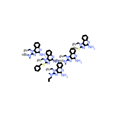 C=CCN(C)c1nc2c(N)nc3ccccc3c2n1CC(C)C.CC(C)Cn1c(SCc2ccccc2)nc2c(N)nc3ccccc3c21.CCCCCN(C)c1nc2c(N)nc3ccccc3c2n1CC(C)C.CCCCN(C)c1nc2c(N)nc3ccccc3c2n1CC(C)C.CCCSc1nc2c(N)nc3ccccc3c2n1CC(C)C